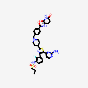 CCCS(=O)(=O)Nc1cccc(-c2nc(C3CCN(Cc4ccc(C(=O)N[C@@H]5CCC(=O)NC5=O)cc4)CC3)sc2-c2ccnc(N)n2)c1F